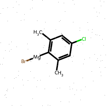 Cc1cc(Cl)cc(C)[c]1[Mg][Br]